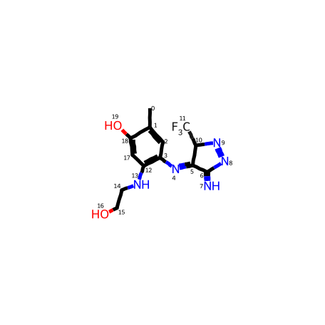 Cc1cc(N=C2C(=N)N=NC2C(F)(F)F)c(NCCO)cc1O